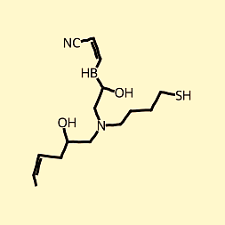 C/C=C\CC(O)CN(CCCCS)CC(O)B/C=C\C#N